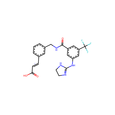 O=C(O)/C=C/c1cccc(CNC(=O)c2cc(NC3=NCCN3)cc(C(F)(F)F)c2)c1